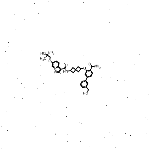 CC(C)(O)COc1ccc2c(C(=O)NC3CC4(C3)CC(Oc3cc(-c5cccc(CO)c5)ccc3C(N)=O)C4)cnn2c1